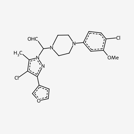 COc1cc(N2CCN(C(C=O)n3nc(-c4ccoc4)c(Cl)c3C)CC2)ccc1Cl